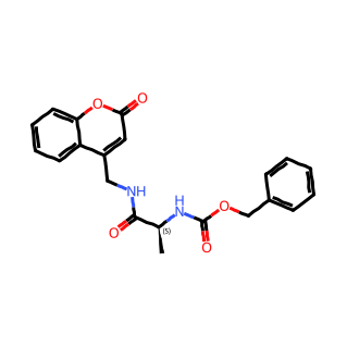 C[C@H](NC(=O)OCc1ccccc1)C(=O)NCc1cc(=O)oc2ccccc12